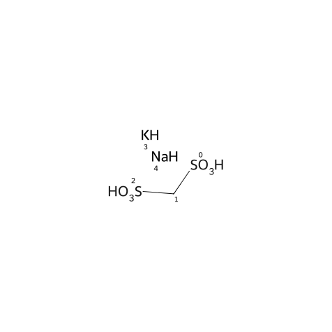 O=S(=O)(O)CS(=O)(=O)O.[KH].[NaH]